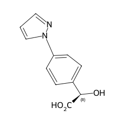 O=C(O)[C@H](O)c1ccc(-n2cccn2)cc1